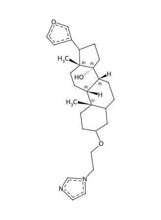 C[C@]12CCC(OCCn3ccnc3)CC1CC[C@@H]1[C@H]2CC[C@]2(C)C(c3ccoc3)CC[C@@]12O